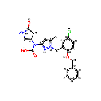 Cc1cc(N(C(=O)O)[C@H]2CNC(=O)C2)nn1Cc1cc(Cl)ccc1OCc1ccccc1